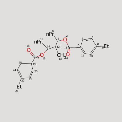 CCCC(OC(=O)c1ccc(CC)cc1)C(C)C(CCC)OC(=O)c1ccc(CC)cc1